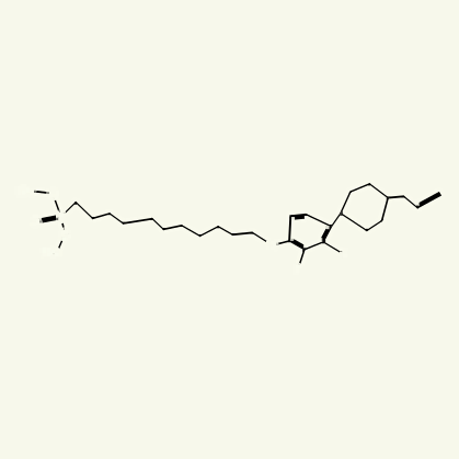 C=CCC1CCC(c2ccc(OCCCCCCCCCCCP(=O)(OC(C)(C)C)OC(C)(C)C)c(F)c2F)CC1